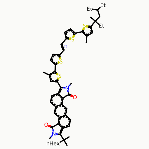 CCCCCCC(C)(C)C1=c2ccc3cc4c5c(ccc4cc3c2C(=O)N1C)=C(c1cc(C)c(-c2ccc(/C=C/c3ccc(-c4sc(C(C)(CC)CC(CC)CC)cc4C)s3)s2)s1)N(C)C5=O